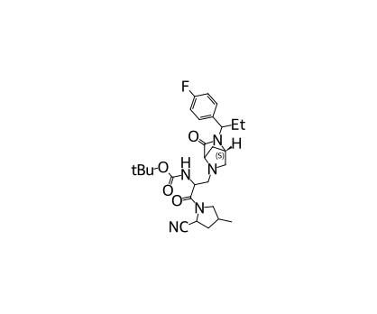 CCC(c1ccc(F)cc1)N1C(=O)C2C[C@H]1CN2CC(NC(=O)OC(C)(C)C)C(=O)N1CC(C)CC1C#N